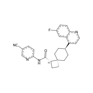 N#Cc1ccc(NC(=O)[C@H]2CC[C@]23CC[C@H](c2ccnc4ccc(F)cc42)CC3)nc1